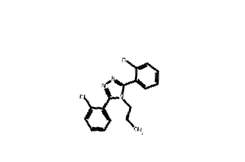 CCCn1c(-c2ccccc2Cl)nnc1-c1ccccc1Cl